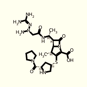 C[C@H]1C(S[C@@H]2CN[C@H](C(=O)N3CCCC3)C2)=C(C(=O)O)N2C(=O)[C@H]([C@@H](C)NC(=O)CN(N)N=C(N)N)C12